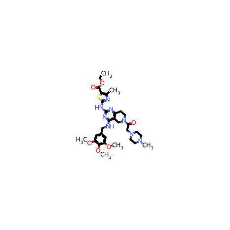 CCOC(=O)c1sc(Nc2nc3c(c(NCc4cc(OC)c(OC)c(OC)c4)n2)CN(C(=O)CN2CCN(C)CC2)CC3)nc1C